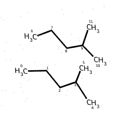 CCC[C](C)C.CCC[C](C)C